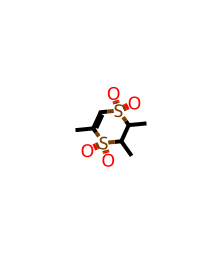 CC1=CS(=O)(=O)C(C)C(C)S1(=O)=O